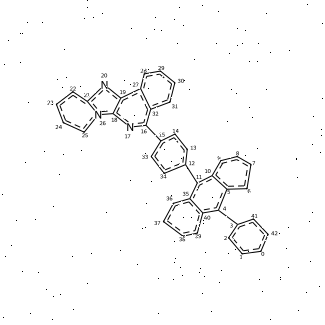 c1ccc(-c2c3ccccc3c(-c3ccc(-c4nc5c(nc6ccccn65)c5ccccc45)cc3)c3ccccc23)cc1